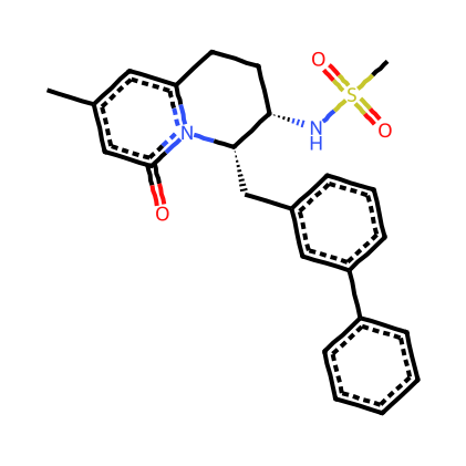 Cc1cc2n(c(=O)c1)[C@@H](Cc1cccc(-c3ccccc3)c1)[C@@H](NS(C)(=O)=O)CC2